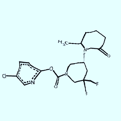 CC1CCCC(=O)N1[C@H]1CN(C(=O)Oc2ccc(Cl)cn2)CC(F)(F)C1